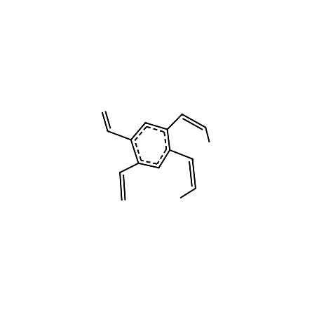 C=Cc1cc(/C=C\C)c(/C=C\C)cc1C=C